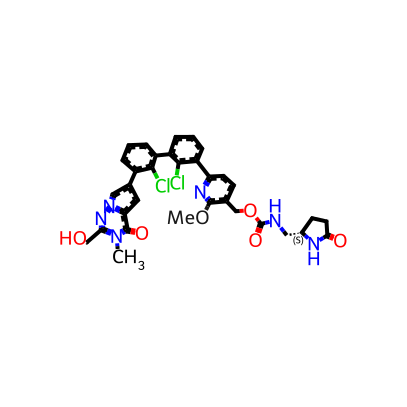 COc1nc(-c2cccc(-c3cccc(-c4cc5c(=O)n(C)c(CO)nn5c4)c3Cl)c2Cl)ccc1COC(=O)NC[C@@H]1CCC(=O)N1